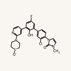 Cn1ccn(-c2ccc(-c3cc(F)cc(-c4ccnc(N5CC[S+]([O-])CC5)c4)c3O)cc2Cl)c1=O